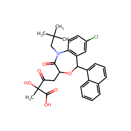 CC(C)(C)CN1C(=O)C(CC(=O)C(C)(O)C(=O)O)OC(c2cccc3ccccc23)c2cc(Cl)ccc21